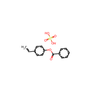 C=Cc1ccc(OC(=O)c2ccccc2)cc1.O=S(=O)(O)O